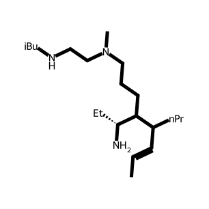 C/C=C/C(CCC)C(CCCN(C)CCNC(C)CC)[C@H](N)CC